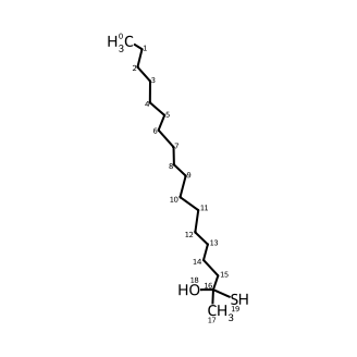 CCCCCCCCCCCCCCCCC(C)(O)S